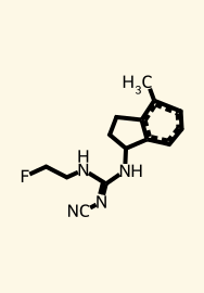 Cc1cccc2c1CCC2NC(=NC#N)NCCF